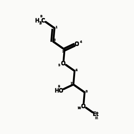 CC=CC(=O)OCC(O)COCC